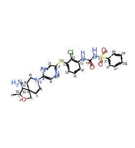 C[C@@H]1OCC2(CCN(c3cnc(Sc4cccc(NC(=O)NS(=O)(=O)c5ccccc5)c4Cl)cn3)CC2)[C@@H]1N